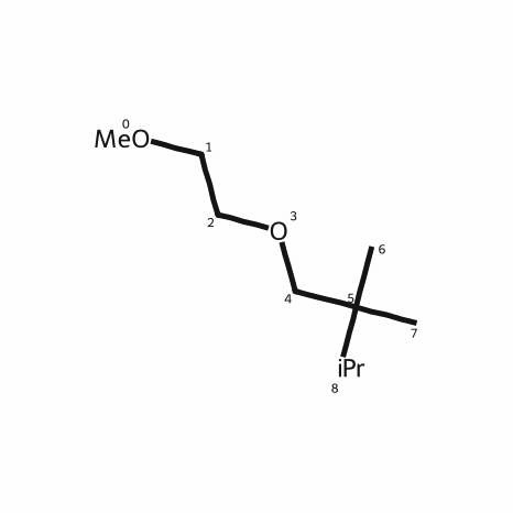 COCCOCC(C)(C)C(C)C